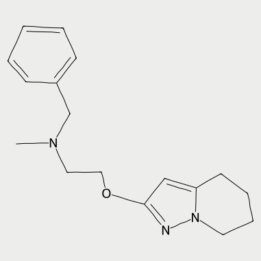 CN(CCOc1cc2n(n1)CCCC2)Cc1ccccc1